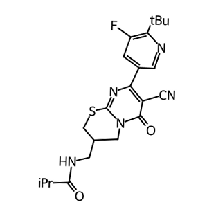 CC(C)C(=O)NCC1CSc2nc(-c3cnc(C(C)(C)C)c(F)c3)c(C#N)c(=O)n2C1